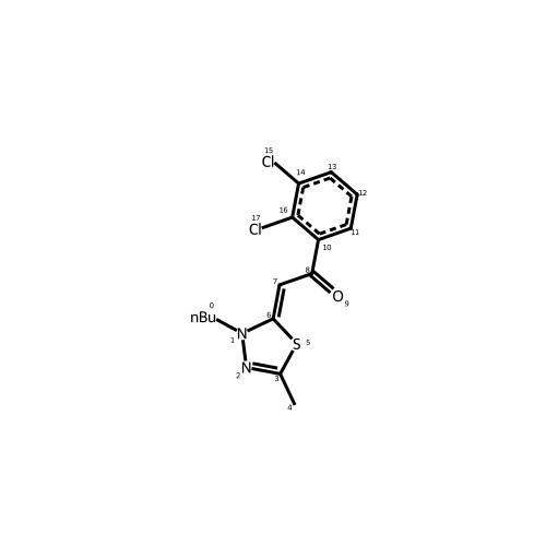 CCCCN1N=C(C)SC1=CC(=O)c1cccc(Cl)c1Cl